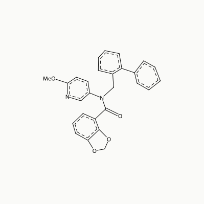 COc1ccc(N(Cc2ccccc2-c2ccccc2)C(=O)c2cccc3c2OCO3)cn1